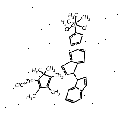 C1=CC(C2C=Cc3ccccc32)c2ccccc21.CC1=C(C)C(C)(C)[C]([Zr+2])=C1C.[CH3][Zr]([CH3])([CH3])([Cl])([Cl])[C]1=CC=CC1.[Cl-].[Cl-]